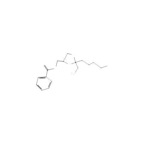 CCCCCC1(CBr)OCC(COC(=O)c2ccccc2)O1